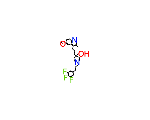 COc1ccc2ncc(C)c(CCCC3(CO)CCN(CCCc4cc(F)c(F)c(F)c4)CC3)c2c1